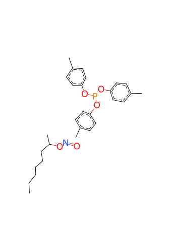 CCCCCCC(C)ON=O.Cc1ccc(OP(Oc2ccc(C)cc2)Oc2ccc(C)cc2)cc1